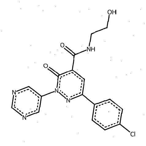 O=C(NCCO)c1cc(-c2ccc(Cl)cc2)nn(-c2cncnc2)c1=O